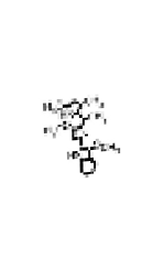 COC1=CC(c2[nH]c3ccccc3c2OC)=N/C1=C(\C)c1[nH]c(C)cc1C